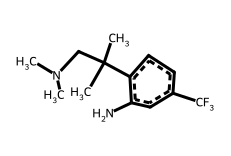 CN(C)CC(C)(C)c1ccc(C(F)(F)F)cc1N